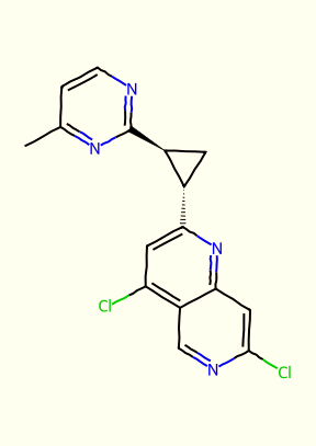 Cc1ccnc([C@H]2C[C@@H]2c2cc(Cl)c3cnc(Cl)cc3n2)n1